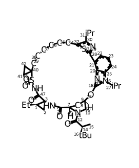 CC[C@@H]1C[C@@]12NC(=O)[C@@H]1C[C@H](CN1C(=O)[C@@H](C)C(C)(C)C)Oc1nc3c(cccc3n1C(C)C)-c1nc(C(C)C)c(s1)CCCCCCC1(CC1)S(=O)(=O)NC2=O